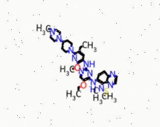 CCOc1cnc(Nc2cc(CC)c(N3CCC(N4CCN(C)CC4)CC3)nc2OC)nc1Nc1ccc2nccnc2c1N(C)SC